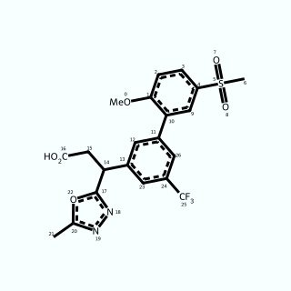 COc1ccc(S(C)(=O)=O)cc1-c1cc(C(CC(=O)O)c2nnc(C)o2)cc(C(F)(F)F)c1